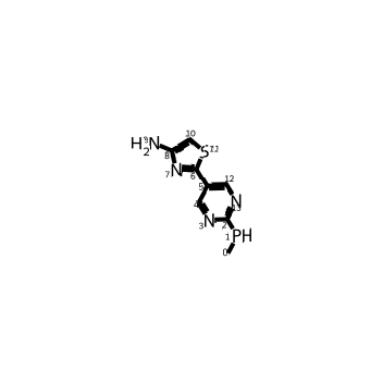 CPc1ncc(-c2nc(N)cs2)cn1